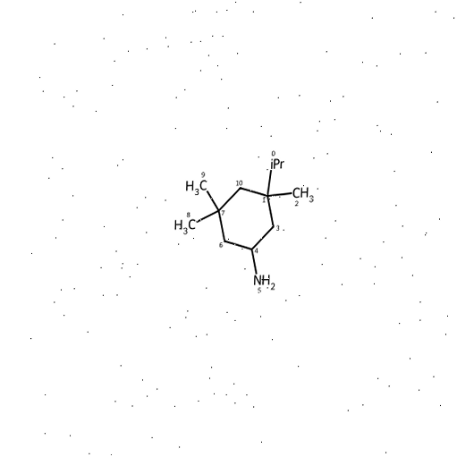 CC(C)C1(C)CC(N)CC(C)(C)C1